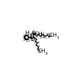 CCCCCCCCP(C)(C)(CCCCCCCC)OC(=O)c1ccccc1